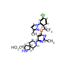 Cc1ccn(-c2cc(Br)ccc2C(Oc2cc(N3CCC4(CC3)CN[C@H](C(=O)O)C4)nc(C)n2)C(F)(F)F)n1